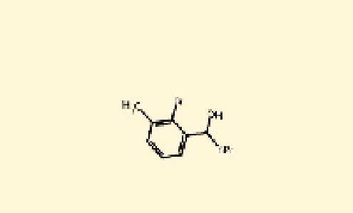 CCCC(O)c1cccc(C)c1Br